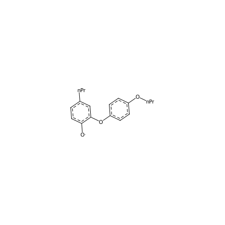 CCCOc1ccc(Oc2cc(CCC)ccc2[O])cc1